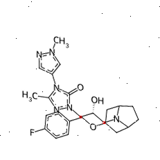 Cc1nn(C[C@H](O)CN2C3CCC2CC(OCc2ccc(F)cc2)C3)c(=O)n1-c1cnn(C)c1